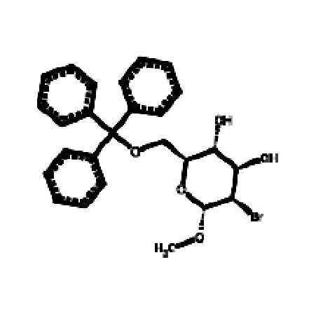 CO[C@@H]1O[C@@H](COC(c2ccccc2)(c2ccccc2)c2ccccc2)[C@H](O)[C@@H](O)[C@H]1Br